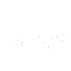 COc1ccc(C2CCN(C(=O)c3ccc(C(F)(F)F)c(NC(=O)c4ccc(N(C)C)nc4)c3)CC2)cc1